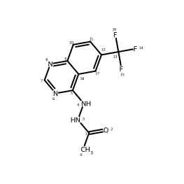 CC(=O)NNc1ncnc2ccc(C(F)(F)F)cc12